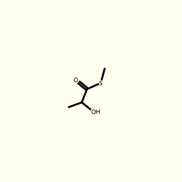 CSC(=O)C(C)O